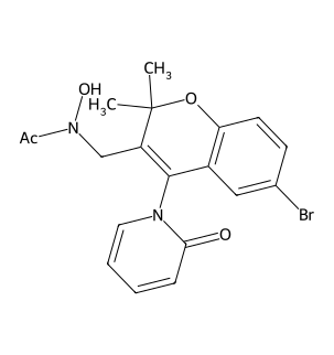 CC(=O)N(O)CC1=C(n2ccccc2=O)c2cc(Br)ccc2OC1(C)C